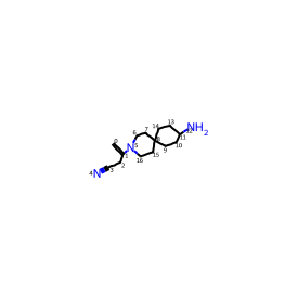 C=C(CC#N)N1CCC2(CCC(N)CC2)CC1